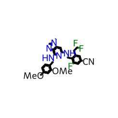 COc1ccc(CNc2nc(NCc3c(F)cc(C#N)cc3CC(F)F)cc3c2ncn3C)c(OC)c1